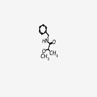 COC(C)C(=O)NCc1ccccc1